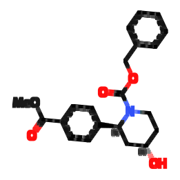 COC(=O)c1ccc([C@@H]2C[C@@H](O)CCN2C(=O)OCc2ccccc2)cc1